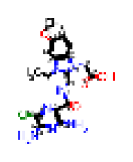 CCn1c(CNC(=O)c2nc(Cl)c(N)nc2N)[n+](CC(=O)O)c2ccc(OC)cc21